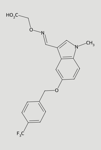 Cn1cc(C=NOCC(=O)O)c2cc(OCc3ccc(C(F)(F)F)cc3)ccc21